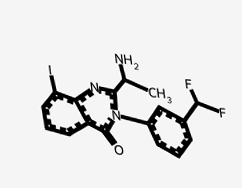 CC(N)c1nc2c(I)cccc2c(=O)n1-c1cccc(C(F)F)c1